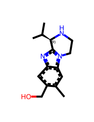 Cc1cc2c(cc1CO)nc1n2CCN[C@@H]1C(C)C